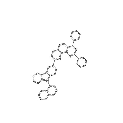 c1ccc(-c2nc(-c3ccccc3)c3ccc4ccc(-c5ccc6c(c5)c5ccccc5n6-c5cccc6ccccc56)nc4c3n2)cc1